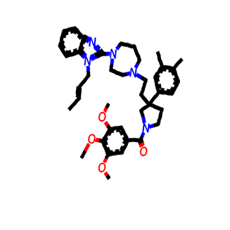 CC=CCn1c(N2CCCN(CCC3(c4ccc(C)c(C)c4)CCN(C(=O)c4cc(OC)c(OC)c(OC)c4)C3)CC2)nc2ccccc21